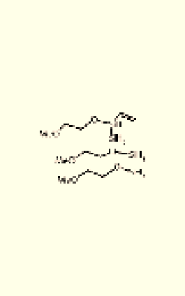 C=C[SiH]([SiH3])OCCOC.COCCO[SiH3].COCCO[SiH3]